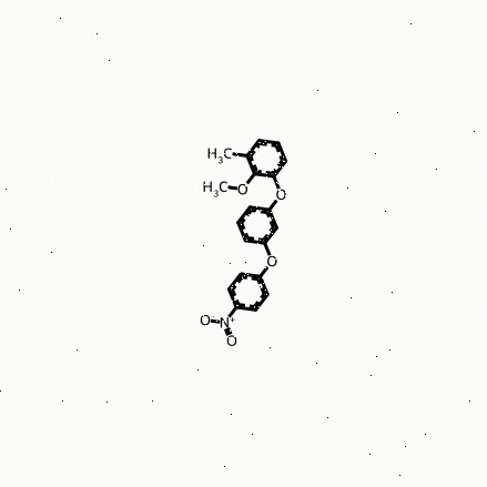 COc1c(C)cccc1Oc1cccc(Oc2ccc([N+](=O)[O-])cc2)c1